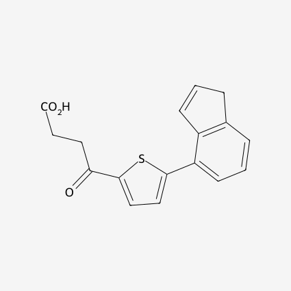 O=C(O)CCC(=O)c1ccc(-c2cccc3c2C=CC3)s1